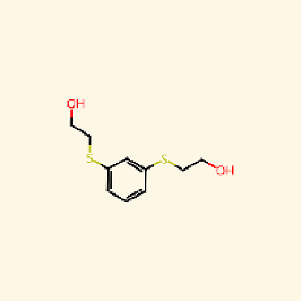 OCCSc1cccc(SCCO)c1